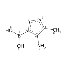 Cc1scc(B(O)O)c1N